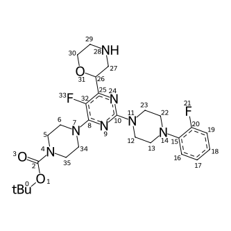 CC(C)(C)OC(=O)N1CCN(c2nc(N3CCN(c4ccccc4F)CC3)nc(C3CNCCO3)c2F)CC1